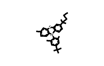 CCCC(C)(C)c1ccc2c(c1)Sc1cc(C)ccc1N2c1c(C)cc(C(C)(C)C)cc1C